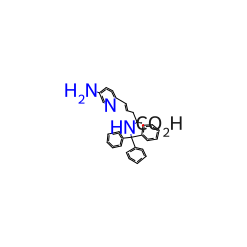 Nc1ccc(/C=C/C[C@H](NC(c2ccccc2)(c2ccccc2)c2ccccc2)C(=O)O)nc1